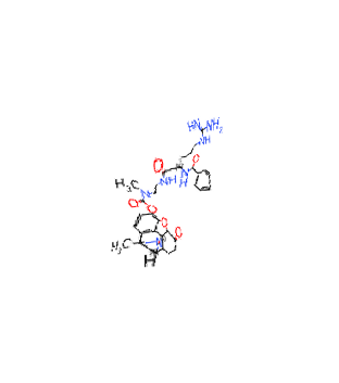 CN(CCNC(=O)[C@H](CCCNC(=N)N)NC(=O)c1ccccc1)C(=O)Oc1ccc2c3c1OC1C(=O)CCC4[C@@H](C2)N(C)C[C@]314